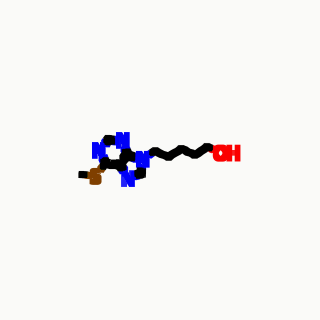 CSc1ncnc2c1ncn2CCCCCO